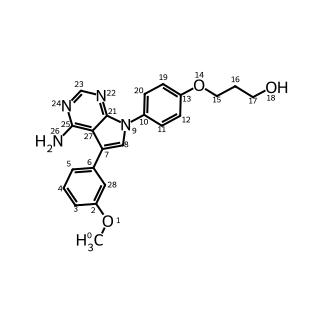 COc1cccc(-c2cn(-c3ccc(OCCCO)cc3)c3ncnc(N)c23)c1